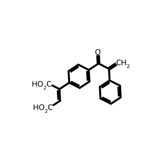 C=C(C(=O)c1ccc(/C(=C/C(=O)O)C(=O)O)cc1)c1ccccc1